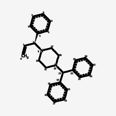 C=C[C@H](c1ccccc1)N1CCN(C(c2ccccc2)c2ccccc2)CC1